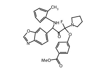 COC(=O)c1ccc(OC(F)(C(=O)C(Nc2ccccc2C)c2ccc3ncoc3c2)N2CCCC2)cc1